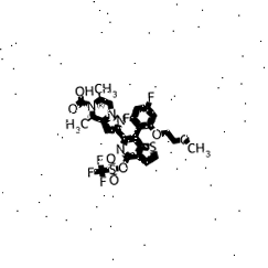 COCCOc1cc(F)cc(F)c1-c1c(-c2cc3n(n2)C[C@@H](C)N(C(=O)O)[C@H]3C)nc(OS(=O)(=O)C(F)(F)F)c2ccsc12